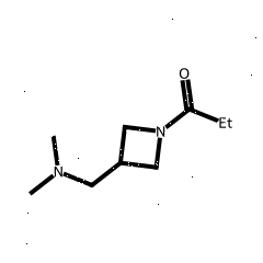 CCC(=O)N1CC(CN(C)C)C1